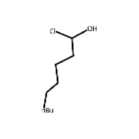 CCCCCCCCC(O)Cl